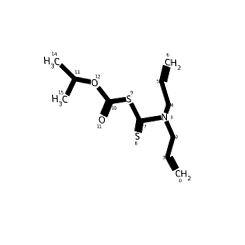 C=CCN(CC=C)C(=S)SC(=O)OC(C)C